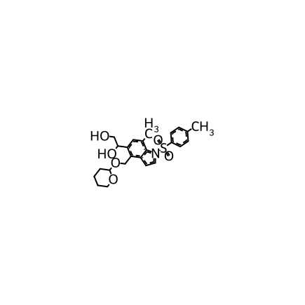 Cc1ccc(S(=O)(=O)n2ccc3c(COC4CCCCO4)c(C(O)CO)cc(C)c32)cc1